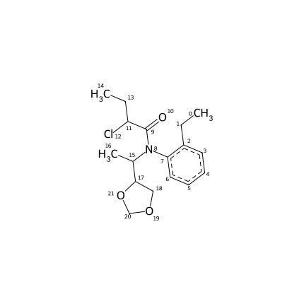 CCc1ccccc1N(C(=O)C(Cl)CC)C(C)C1COCO1